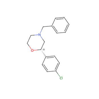 Clc1ccc([C@H]2CN(Cc3ccccc3)CCO2)cc1